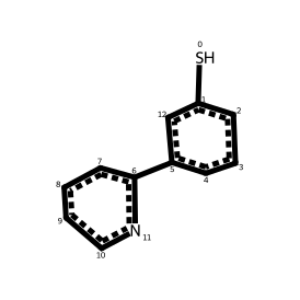 Sc1cccc(-c2ccccn2)c1